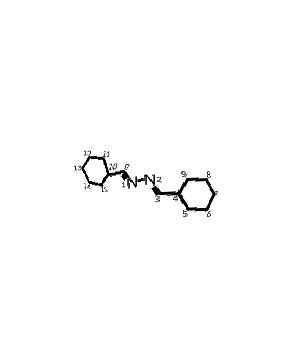 C(=NN=CC1CCCCC1)C1CCCCC1